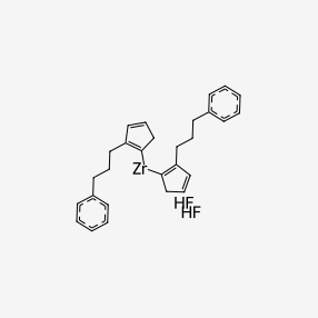 C1=CC(CCCc2ccccc2)=[C]([Zr][C]2=C(CCCc3ccccc3)C=CC2)C1.F.F